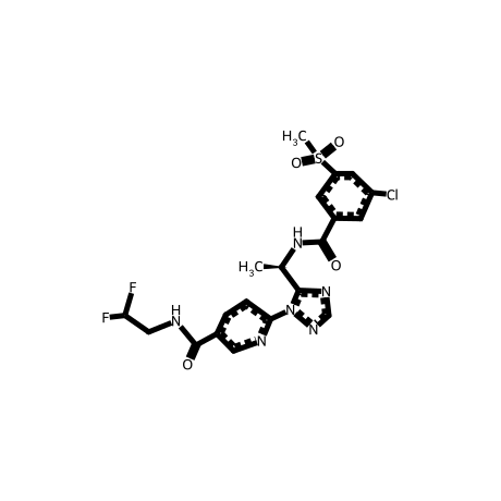 C[C@@H](NC(=O)c1cc(Cl)cc(S(C)(=O)=O)c1)c1ncnn1-c1ccc(C(=O)NCC(F)F)cn1